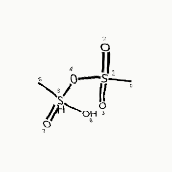 CS(=O)(=O)O[SH](C)(=O)O